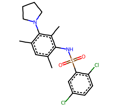 Cc1cc(C)c(N2CCCC2)c(C)c1NS(=O)(=O)c1cc(Cl)ccc1Cl